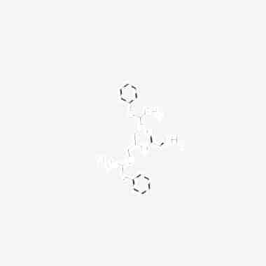 C=CC(=O)OC(CSC(C)Sc1ccccc1)CSC(C)Sc1ccccc1